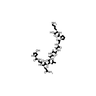 CC(C)C[C@H](NC(=O)[C@H](CCC(N)=O)NC(=O)CNC(=O)[C@@H]1C[C@@H](O)CN1)C(=O)N[C@@H](C)C(=O)N[C@@H](C)C(=O)N[C@@H](C)C(=O)NCC(=O)N1CCC[C@H]1C(=O)N[C@@H](CCCCN)C(=O)O